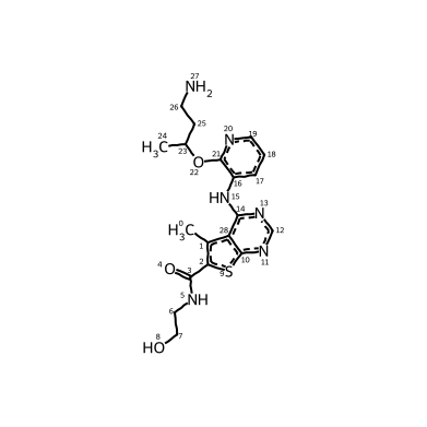 Cc1c(C(=O)NCCO)sc2ncnc(Nc3cccnc3OC(C)CCN)c12